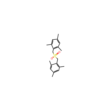 Cc1cc(C)c(CS(=O)(=O)Cc2c(C)cc(C)cc2C)c(C)c1